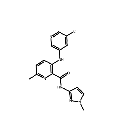 Cc1ccc(Nc2cncc(Cl)c2)c(C(=O)Nc2ccn(C)n2)n1